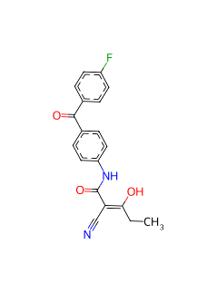 CCC(O)=C(C#N)C(=O)Nc1ccc(C(=O)c2ccc(F)cc2)cc1